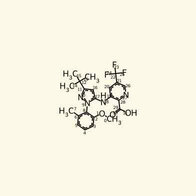 COc1cccc(C)c1-n1nc(C(C)(C)C)cc1Nc1cc(C(F)(F)F)cnc1C(=O)O